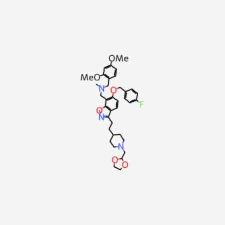 COc1ccc(CN(C)Cc2c(OCc3ccc(F)cc3)ccc3c(CCC4CCN(CC5OCCO5)CC4)noc23)c(OC)c1